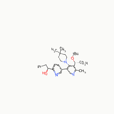 Cc1ncc(-c2ccc([C@@H](O)CC(C)C)nc2)c(N2CCC(C)(C)CC2)c1[C@H](OC(C)(C)C)C(=O)O